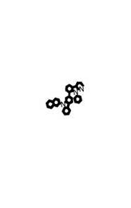 c1ccc(-n2c3ncccc3c3cccc(-c4ccc5c6ccccc6n(-c6ccc7ccccc7c6)c5c4)c32)cc1